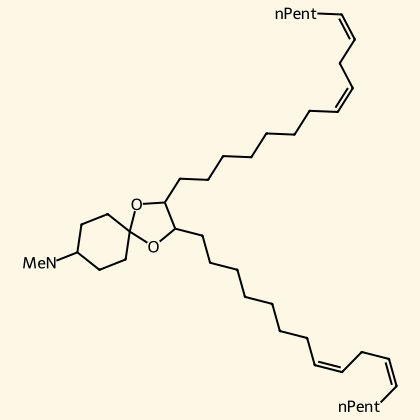 CCCCC/C=C\C/C=C\CCCCCCCC1OC2(CCC(NC)CC2)OC1CCCCCCC/C=C\C/C=C\CCCCC